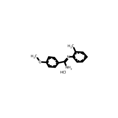 COc1ccc(/C(N)=N/c2ccccc2C)cc1.Cl